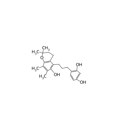 Cc1c(C)c2c(c(CCCc3ccc(O)cc3O)c1O)CCC(C)(C)O2